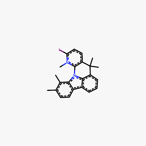 Cc1ccc2c3cccc4c3n(c2c1C)-c1c(ccc(I)[n+]1C)C4(C)C